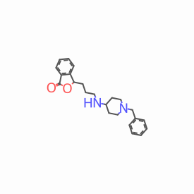 O=C1OC(CCCNC2CCN(Cc3ccccc3)CC2)c2ccccc21